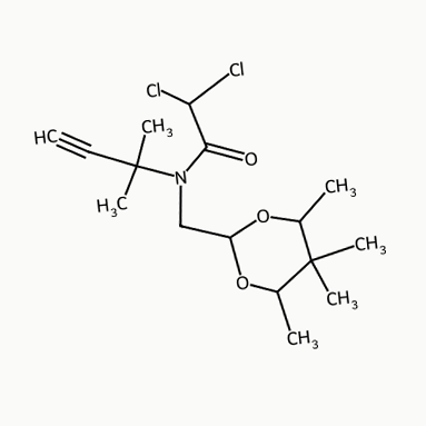 C#CC(C)(C)N(CC1OC(C)C(C)(C)C(C)O1)C(=O)C(Cl)Cl